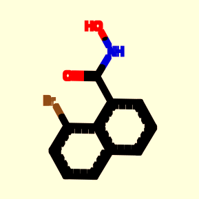 O=C(NO)c1cccc2cccc(Br)c12